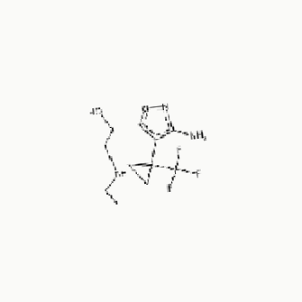 CCNCCO.Nc1nocc1C1(C(F)(F)F)CC1